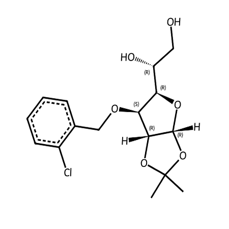 CC1(C)O[C@H]2O[C@H]([C@H](O)CO)[C@H](OCc3ccccc3Cl)[C@H]2O1